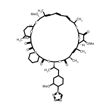 COC1CC(CC(C)[C@@H]2CC(=O)[C@H](C)/C=C(\C)[C@H]3OC(CC(C)/C=C/C=C/C=C(\C)[C@@H](OC)C[C@@H]4CCC(C)C(O)(O4)C(=O)C(=O)N4CCCCC4C(=O)O2)C(=O)C3OC)CCC1n1cnnn1